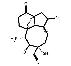 O=C1CCC23CCC14CC(S)[C@@](S)(CC[C@@](S)(C=S)C(O)[C@@H]2P)C43